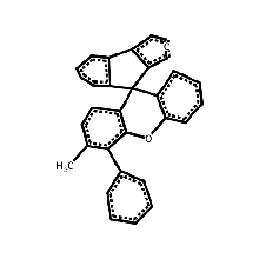 Cc1ccc2c(c1-c1ccccc1)Oc1ccccc1C21c2ccccc2-c2ccccc21